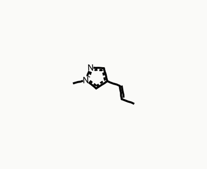 C/C=C/c1cnn(C)c1